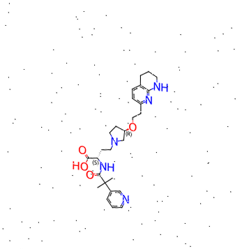 CC(C)(C(=O)N[C@@H](CCN1CC[C@@H](OCCc2ccc3c(n2)NCCC3)C1)C(=O)O)c1cccnc1